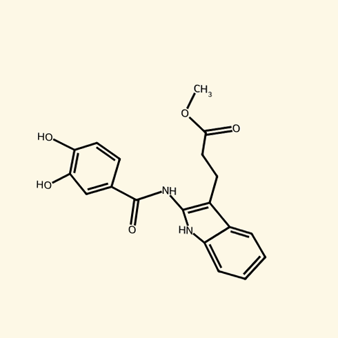 COC(=O)CCc1c(NC(=O)c2ccc(O)c(O)c2)[nH]c2ccccc12